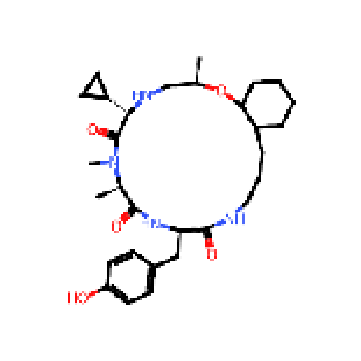 C[C@@H]1CN[C@@H](C2CC2)C(=O)N(C)[C@H](C)C(=O)N[C@H](Cc2ccc(O)cc2)C(=O)NCCCC2CCCCC2O1